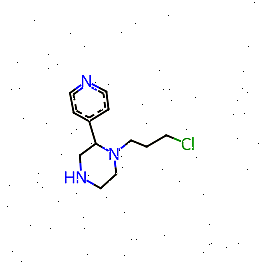 ClCCCN1CCNCC1c1ccncc1